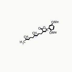 COc1ccc(OC)c([C@H]2C=C(CC/C=C(\C)CCC=C(C)C)C(=O)O2)c1